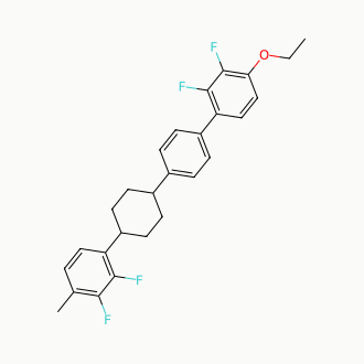 CCOc1ccc(-c2ccc(C3CCC(c4ccc(C)c(F)c4F)CC3)cc2)c(F)c1F